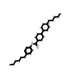 CCCCCCc1ccc(OC(=O)C2CCC(C3CCC(CCCCC)CC3)CC2)cc1